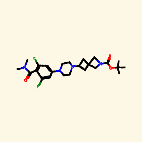 CN(C)C(=O)c1c(F)cc(N2CCN(C3CC4(C3)CN(C(=O)OC(C)(C)C)C4)CC2)cc1F